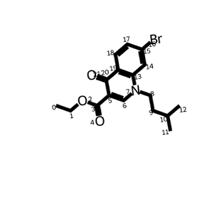 CCOC(=O)c1cn(CCC(C)C)c2cc(Br)ccc2c1=O